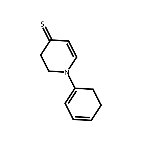 S=C1C=CN(C2=CC=CCC2)CC1